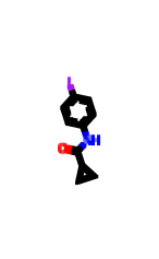 O=C(Nc1ccc(I)cc1)C1CC1